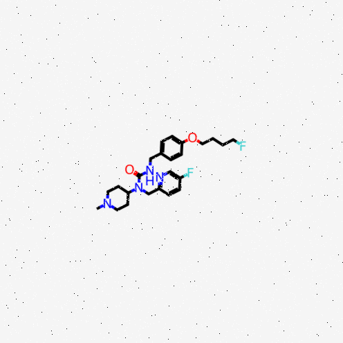 CN1CCC(N(Cc2ccc(F)cn2)C(=O)NCc2ccc(OCCCCF)cc2)CC1